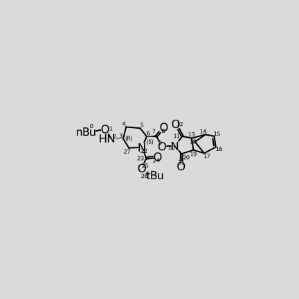 CCCCON[C@@H]1CC[C@@H](C(=O)ON2C(=O)C3C4C=CC(C4)C3C2=O)N(C(=O)OC(C)(C)C)C1